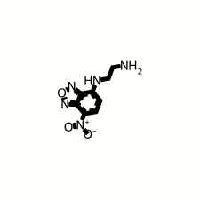 NCCNc1ccc([N+](=O)[O-])c2nonc12